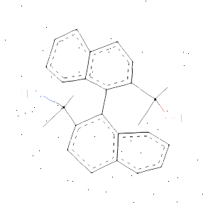 CC(C)(N)c1ccc2ccccc2c1-c1c(C(C)(C)O)ccc2ccccc12